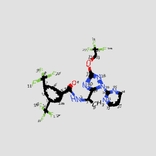 CC(NC(=O)c1cc(C(F)(F)F)cc(C(F)(F)F)c1)c1nc(OCC(F)(F)F)nn1-c1ncccn1